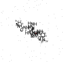 Cc1ccc(C(=O)NC[C@@H]2NC(=N)N3C[C@H](NC(=O)c4cccc5c4OCCN5C)[C@](C)(O)C34C2NC(=N)N4O)nn1